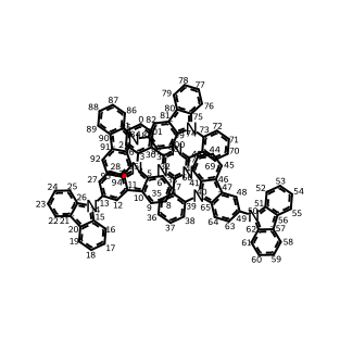 c1ccc(-n2c3ccccc3c3cc(-n4c5ccccc5c5ccccc54)ccc32)c(-c2nc(-c3ccccc3-n3c4ccccc4c4cc(-n5c6ccccc6c6ccccc65)ccc43)nc(-c3ccccc3-n3c4ccccc4c4cc(-n5c6ccccc6c6ccccc65)ccc43)n2)c1